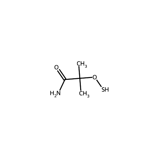 CC(C)(OS)C(N)=O